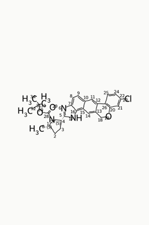 C[C@H]1CC[C@@H](c2nc3ccc4cc5c(cc4c3[nH]2)COc2cc(Cl)ccc2-5)N1C(=O)OC(C)(C)C